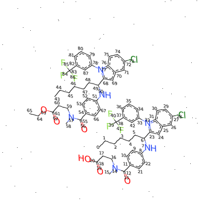 CCCCCCC(Nc1ccc(C(=O)N(C)CCC(=O)O)cc1)c1cc2cc(Cl)ccc2n1-c1cccc(C(F)(F)F)c1.CCCCCCC(Nc1ccc(C(=O)N(C)CCC(=O)OCC)cc1)c1cc2cc(Cl)ccc2n1-c1cccc(C(F)(F)F)c1